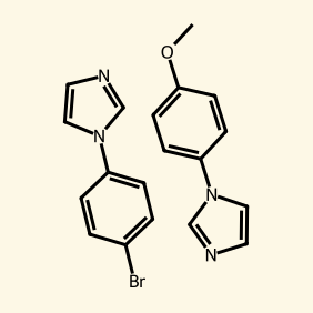 Brc1ccc(-n2ccnc2)cc1.COc1ccc(-n2ccnc2)cc1